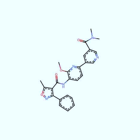 COc1nc(-c2cncc(C(=O)N(C)C)c2)ccc1NC(=O)c1c(-c2ccccc2)noc1C